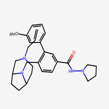 C=CCN1CCC2CCC(C1)N2Cc1ccc(C(=O)NN2CCCC2)cc1-c1cccc(OC)c1